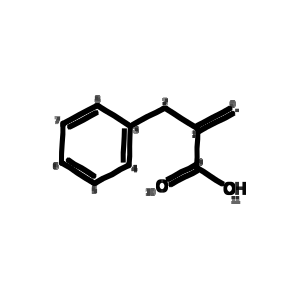 [CH]=C(Cc1ccccc1)C(=O)O